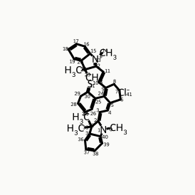 CN1C(=CC=C2CCCC(C=CC3=[N+](C)c4ccccc4C3(C)C)=C2C2=CC=CCC2=S)C(C)(C)c2ccccc21.[Cl-]